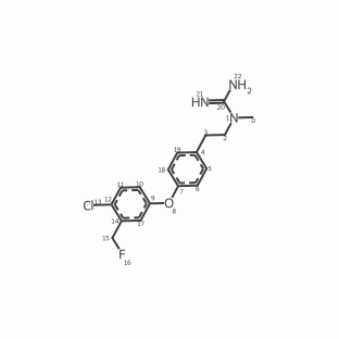 CN(CCc1ccc(Oc2ccc(Cl)c(CF)c2)cc1)C(=N)N